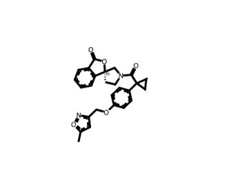 Cc1cc(COc2ccc(C3(C(=O)N4CC[C@@]5(C4)OC(=O)c4ccccc45)CC3)cc2)no1